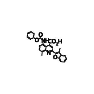 Cc1c(-c2cc(C(=O)O)c3c(NC(=O)Oc4ccccc4)ccc(C)c3n2)oc2ccccc12